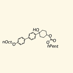 CCCCCCCCOc1ccc(-c2ccc(C3(O)CCC(OC(=O)OCCCCC)CC3)cc2)cc1